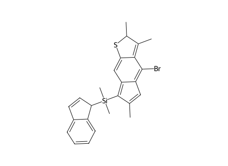 CC1=Cc2c(Br)c3c(cc2=C1[Si](C)(C)C1C=Cc2ccccc21)SC(C)C=3C